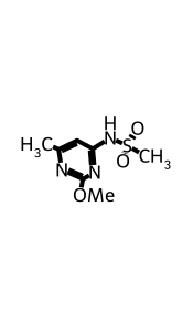 COc1nc(C)cc(NS(C)(=O)=O)n1